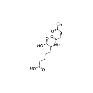 O=C(O)/C=C\C(=O)NC(CCCCC(=O)O)C(=O)O